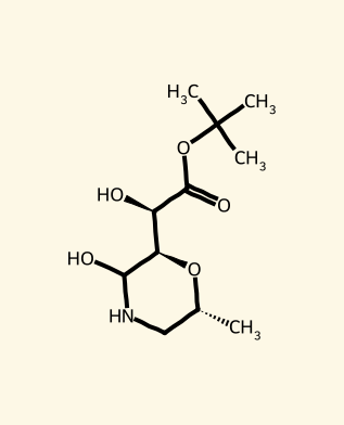 C[C@@H]1CNC(O)[C@@H]([C@@H](O)C(=O)OC(C)(C)C)O1